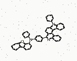 c1ccc(N(c2ccc(-c3nc4ccccc4c4c3ccc3c4c4ccccc4n3-c3ccccc3)cc2)c2cccc3c2oc2ccccc23)cc1